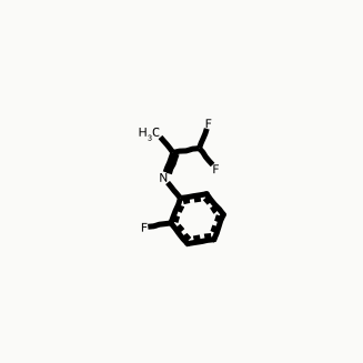 CC(=Nc1ccccc1F)C(F)F